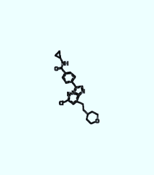 O=C(NC1CC1)c1ccc(-c2cnc3c(CCC4CCOCC4)cc(Cl)nn23)cc1